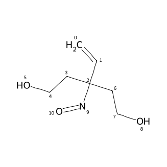 C=CC(CCO)(CCO)N=O